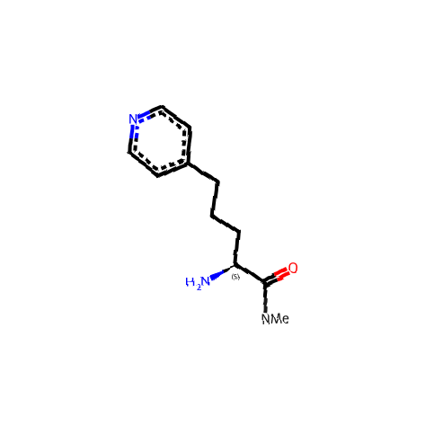 CNC(=O)[C@@H](N)CCCc1ccncc1